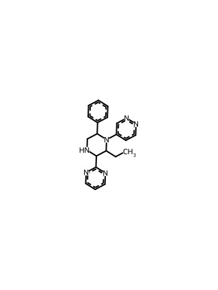 CCC1C(c2ncccn2)NCC(c2ccccc2)N1c1ccnnc1